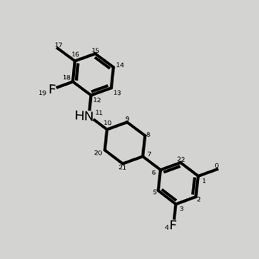 Cc1cc(F)cc(C2CCC(Nc3cccc(C)c3F)CC2)c1